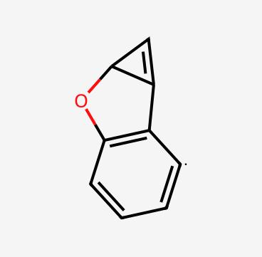 [c]1cccc2c1C1=CC1O2